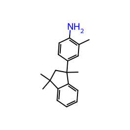 Cc1cc(C2(C)CC(C)(C)c3ccccc32)ccc1N